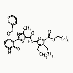 CCOC(=O)c1oc(NC(=O)c2sc(-c3c(OCc4ccccc4)cc[nH]c3=O)nc2C)c(CC)c1CC